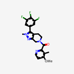 COc1ccnc(C(=O)N2CCc3c(nn(C)c3-c3cc(F)c(F)c(F)c3)C2)c1C